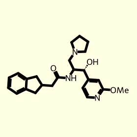 COc1cc([C@@H](O)C(CN2CCCC2)NC(=O)CC2Cc3ccccc3C2)ccn1